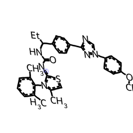 CCC(NC(=O)/N=c1\scc(C)n1-c1c(C)cccc1C)c1ccc(-c2ncn(-c3ccc(OC(F)(F)F)cc3)n2)cc1